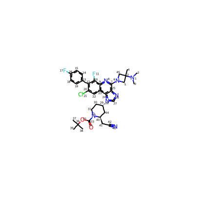 CN(C)C1(C)CN(c2nc3c(F)c(-c4ccc(F)cc4)c(Cl)cc3c3c2ncn3[C@H]2CCN(C(=O)OC(C)(C)C)[C@H](CC#N)C2)C1